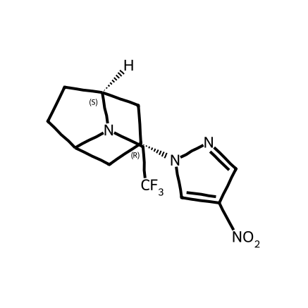 O=[N+]([O-])c1cnn([C@@H]2CC3CC[C@@H](C2)N3CC(F)(F)F)c1